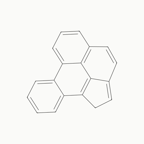 C1=c2ccc3cccc4c5ccccc5c(c2c34)C1